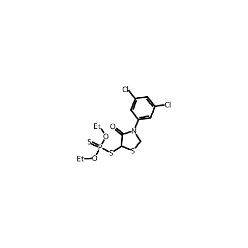 CCOP(=S)(OCC)SC1SCN(c2cc(Cl)cc(Cl)c2)C1=O